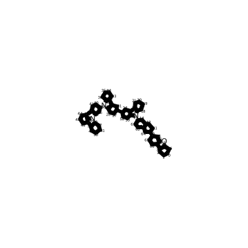 c1ccc2c(c1)oc1cc(-c3ccc4cc(-n5c6ccccc6c6cc(-c7ccc8c(c7)c7ccccc7n8-c7ccc8c9cccc%10c%11ccccc%11n(c8c7)c%109)ccc65)ccc4c3)ccc12